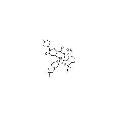 Cc1c([C@@H](C)NC(=O)c2cn(C3CCOCC3)c(=O)cc2NC2CCN(CC(F)(F)F)CC2)cccc1C(F)(F)F